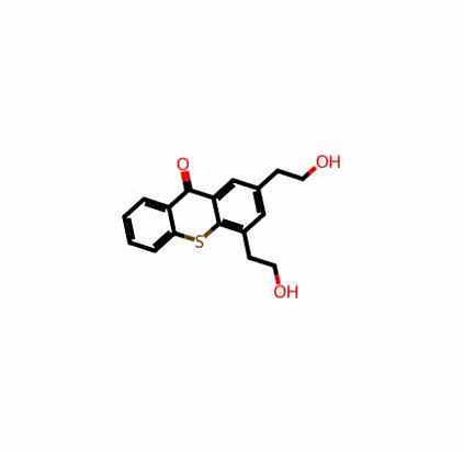 O=c1c2ccccc2sc2c(CCO)cc(CCO)cc12